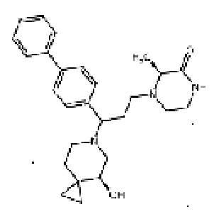 C[C@H]1C(=O)NCCN1CCC(c1ccc(-c2ccccc2)cc1)N1CCC2(CC2)[C@H](O)C1